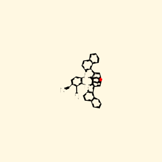 N#Cc1ccc(-n2c3ccccc3c3c4ccccc4ccc32)c(-n2c3ccccc3c3c4ccccc4ccc32)c1C#N